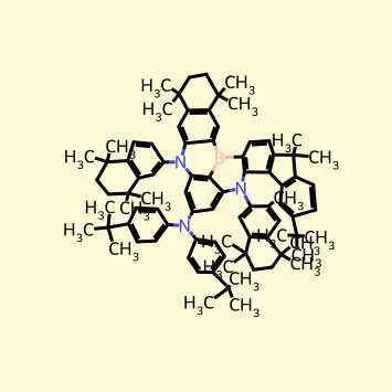 Cc1cc2c(cc1N1c3cc(N(c4ccc(C(C)(C)C)cc4)c4ccc(C(C)(C)C)cc4)cc4c3B(c3cc5c(cc3N4c3ccc4c(c3)C(C)(C)CCC4(C)C)C(C)(C)CCC5(C)C)c3ccc4c(c31)-c1cc(C(C)(C)C)ccc1C4(C)C)C(C)(C)CCC2(C)C